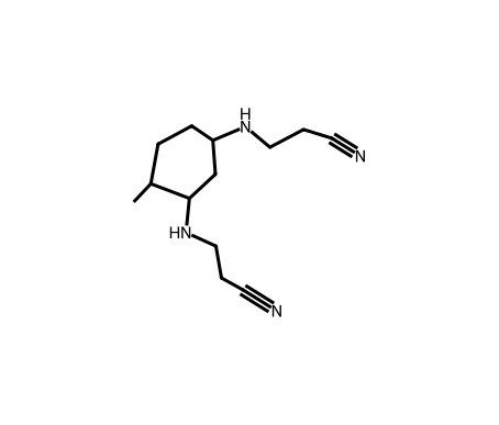 CC1CCC(NCCC#N)CC1NCCC#N